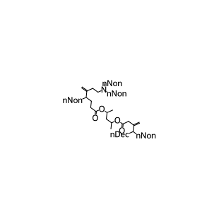 C=C(CCN(CCCCCCCCC)CCCCCCCCC)C(CCCCCCCCC)CCC(=O)OC(C)CC(C)OC(=O)CC(=C)C(CCCCCCCCC)CCCCCCCCCC